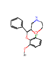 CC(C)Oc1cccc(F)c1OC(c1ccccc1)C1CNCCO1